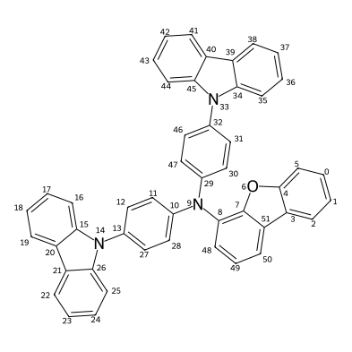 c1ccc2c(c1)oc1c(N(c3ccc(-n4c5ccccc5c5ccccc54)cc3)c3ccc(-n4c5ccccc5c5ccccc54)cc3)cccc12